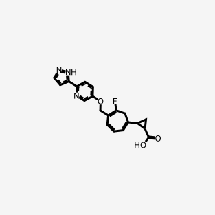 O=C(O)C1CC1C1=CC=CC(COc2ccc(-c3ccn[nH]3)nc2)=C(F)C1